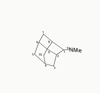 CNC1C2CC3CC4CC1C42C3